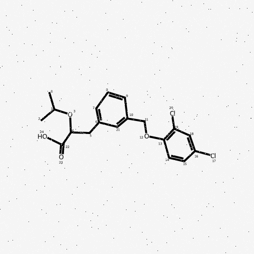 CC(C)OC(Cc1cccc(COc2ccc(Cl)cc2Cl)c1)C(=O)O